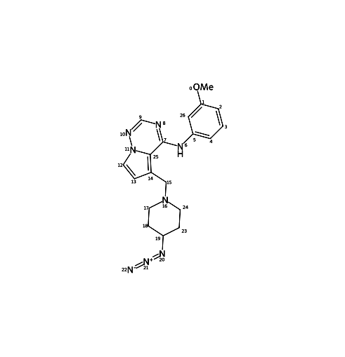 COc1cccc(Nc2ncnn3ccc(CN4CCC(N=[N+]=[N-])CC4)c23)c1